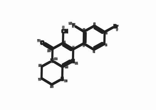 N#Cc1c(-c2ccc(Br)cc2F)nc2n(c1=O)CCCS2